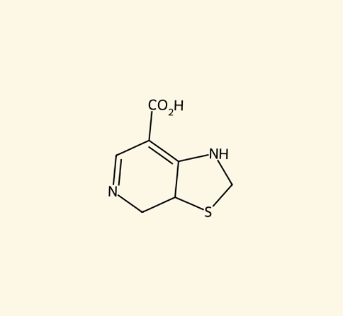 O=C(O)C1=C2NCSC2CN=C1